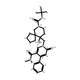 CN(C)C(=O)c1cn(CC2(O)CCN(C(=O)OC(C)(C)C)CC23CCCC3)c(=O)cc1-c1ccccc1